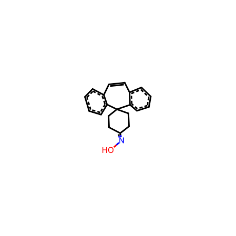 ON=C1CCC2(CC1)c1ccccc1C=Cc1ccccc12